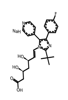 CC(C)(C)c1nc(-c2ccc(F)cc2)c(-c2ccncc2)n1C=C[C@H](O)C[C@H](O)CC(=O)O.[NaH]